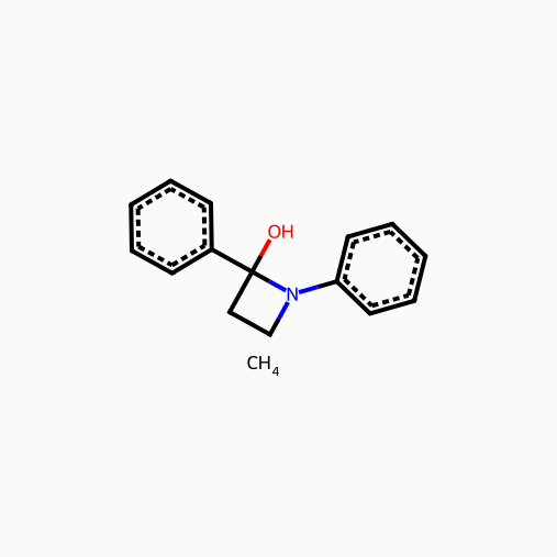 C.OC1(c2ccccc2)CCN1c1ccccc1